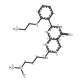 CCCOc1ccccc1-c1nc2nc(NCCC[S+](C)[O-])ncc2c(=O)[nH]1